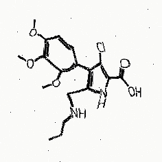 CCCNCc1[nH]c(C(=O)O)c(Cl)c1-c1ccc(OC)c(OC)c1OC